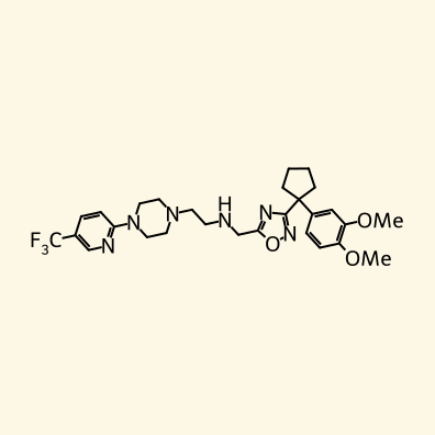 COc1ccc(C2(c3noc(CNCCN4CCN(c5ccc(C(F)(F)F)cn5)CC4)n3)CCCC2)cc1OC